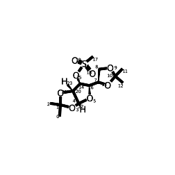 CC1(C)O[C@H]2O[C@H]([C@H]3COC(C)(C)O3)[C@H](OS(C)(=O)=O)[C@H]2O1